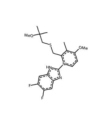 COc1cc[n+](-c2nc3cc(F)c(F)cc3[nH]2)c(CSCC(C)(C)OC)c1C